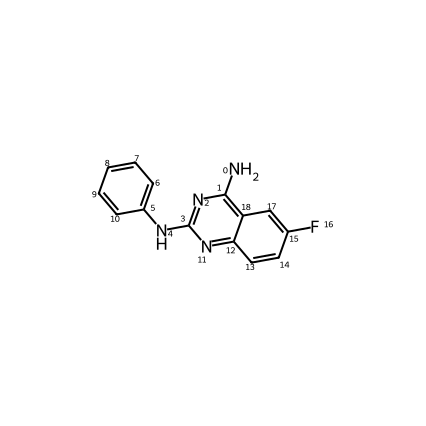 Nc1nc(Nc2ccccc2)nc2ccc(F)cc12